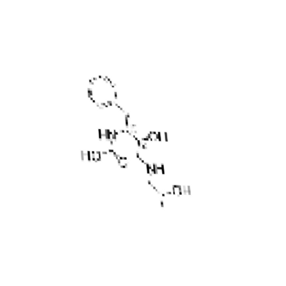 CC(O)CNC[C@H](O)[C@H](Cc1ccccc1)NC(=O)O